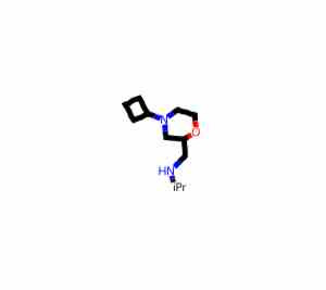 CC(C)NCC1CN(C2CCC2)CCO1